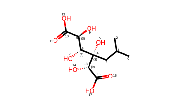 CC(C)C[C@](O)([C@H](O)[C@H](O)C(=O)O)[C@@H](O)C(=O)O